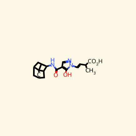 CC(/C=C/n1ncc(C(=O)NC2C3CC4CC5CC2C53C4)c1O)C(=O)O